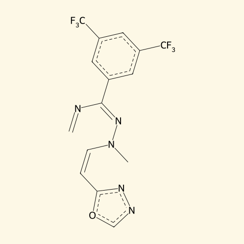 C=N/C(=N\N(C)/C=C\c1nnco1)c1cc(C(F)(F)F)cc(C(F)(F)F)c1